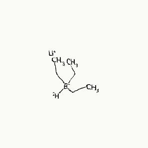 [2H][B-](CC)(CC)CC.[Li+]